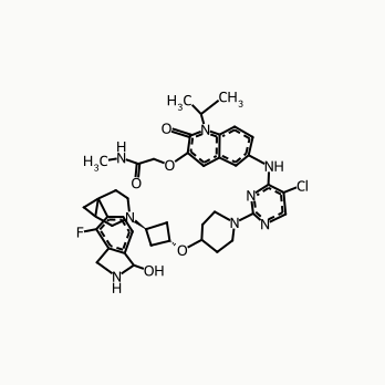 CNC(=O)COc1cc2cc(Nc3nc(N4CCC(O[C@H]5C[C@H](N6CCC7(c8ccc9c(c8F)CNC9O)CC7C6)C5)CC4)ncc3Cl)ccc2n(C(C)C)c1=O